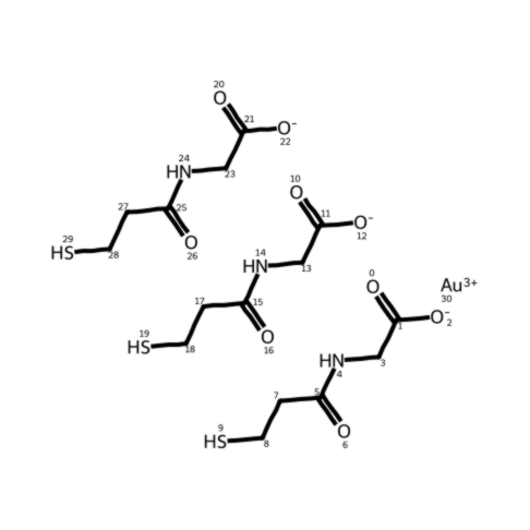 O=C([O-])CNC(=O)CCS.O=C([O-])CNC(=O)CCS.O=C([O-])CNC(=O)CCS.[Au+3]